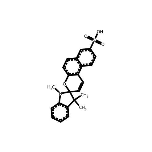 CN1c2ccccc2C(C)(C)C12C=Cc1c(ccc3cc(S(=O)(=O)O)ccc13)O2